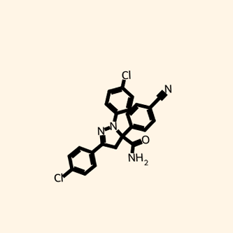 N#Cc1ccc(C2(C(N)=O)CC(c3ccc(Cl)cc3)=NN2c2ccc(Cl)cc2)cc1